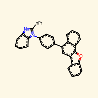 CCCc1nc2ccccc2n1-c1ccc(-c2cc3c4ccccc4oc3c3ccccc23)cc1